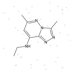 CCNc1cc(C)nn2c(C)nnc12